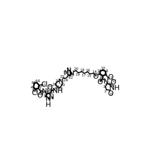 O=C1CCC(N2C(=O)c3cccc(OCCCCCCCn4cc(CCN5CCC(NC(=O)c6n[nH]cc6NC(=O)c6c(Cl)cccc6Cl)CC5)nn4)c3C2=O)C(=O)N1